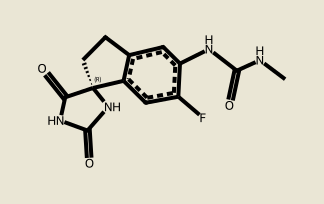 CNC(=O)Nc1cc2c(cc1F)[C@@]1(CC2)NC(=O)NC1=O